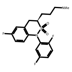 CNCCC[C@@H]1Cc2cc(F)ccc2N(c2cc(F)ccc2F)S1(=O)=O